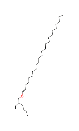 CCCCCCCCCCCCCCCCCCCCCC/C=C/OCC(CC)CCCC